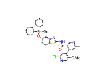 COc1cnc(Cl)cc1-c1cc(C)ncc1C(=O)Nc1nc2cc(O[Si](c3ccccc3)(c3ccccc3)C(C)(C)C)ccc2s1